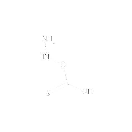 NNOC(O)=S